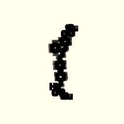 CC(C)(C)OC(=O)NCC1CCN(c2ccc(CCC(=Cc3ccc(OC(=O)C(C)(C)C)cc3)c3ccccc3)cc2)CC1